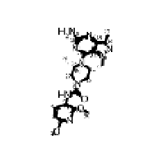 COc1ccc(NC(=O)N2CCN(c3nc(N)nc4c(C)nn(C)c34)[C@@H](C)C2)c(OC)n1